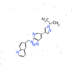 CC(C)n1cc(-c2cnc3c(c2)nnn3Cc2ccc3ncccc3c2)cn1